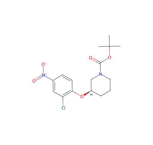 CC(C)(C)OC(=O)N1CCC[C@@H](Oc2ccc([N+](=O)[O-])cc2Cl)C1